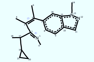 C/N=C(/C(C)=C(/C)c1ccc2cnn(C)c2c1)C(C)C1CC1